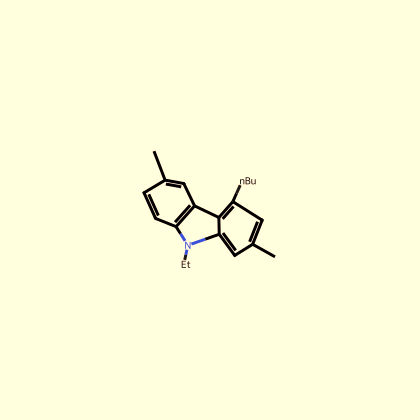 CCCCc1cc(C)cc2c1c1cc(C)ccc1n2CC